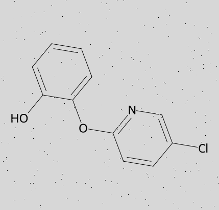 Oc1ccccc1Oc1ccc(Cl)cn1